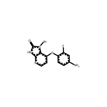 CC(C)n1c(=O)[nH]c2nccc(Oc3ccc(N)cc3F)c21